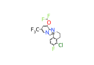 Fc1ccc2c(c1Cl)CCC[C@@]21CN2C=C(C(F)(F)F)C=C(OC(F)F)C2=N1